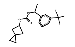 CC(NC(=O)NC1CC2(CC2)C1)c1cccc(C(F)(F)F)c1